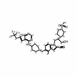 Cc1c(CN2CCC(Nc3ncnc4sc(CC(F)(F)F)cc34)CC2)ccc2c1cc(C#N)n2CC(CO)N1CCN(S(C)(=O)=O)CC1